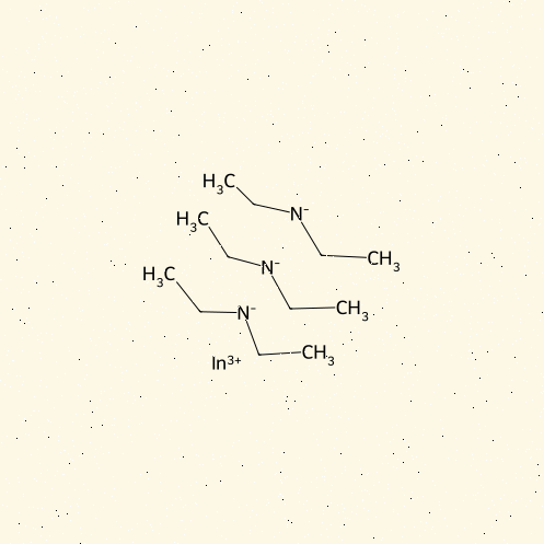 CC[N-]CC.CC[N-]CC.CC[N-]CC.[In+3]